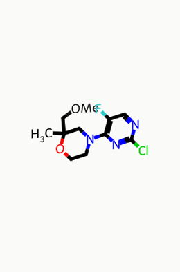 COCC1(C)CN(c2nc(Cl)ncc2F)CCO1